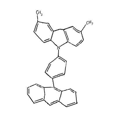 Cc1ccc2c(c1)c1cc(C)ccc1n2-c1ccc(-c2c3ccccc3cc3ccccc23)cc1